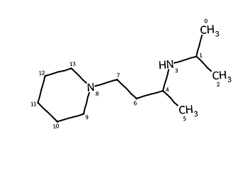 CC(C)NC(C)CCN1CCCCC1